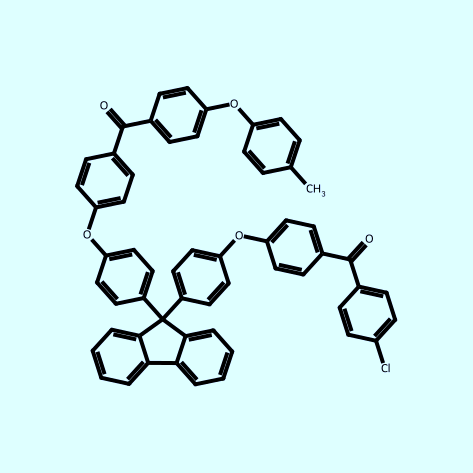 Cc1ccc(Oc2ccc(C(=O)c3ccc(Oc4ccc(C5(c6ccc(Oc7ccc(C(=O)c8ccc(Cl)cc8)cc7)cc6)c6ccccc6-c6ccccc65)cc4)cc3)cc2)cc1